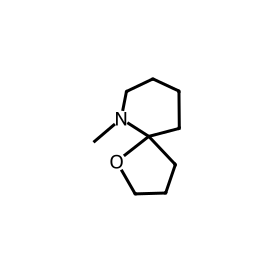 CN1CCCCC12CCCO2